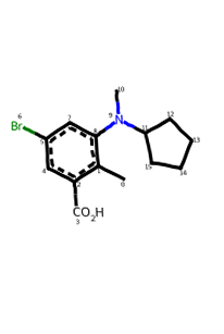 Cc1c(C(=O)O)cc(Br)cc1N(C)C1CCCC1